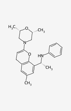 Cc1cc2c(c([C@@H](C)Nc3ccccc3)c1)OC(N1C[C@@H](C)O[C@@H](C)C1)=CC2